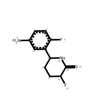 Nc1ccc(F)c(C2CCC(F)C(=S)N2)c1